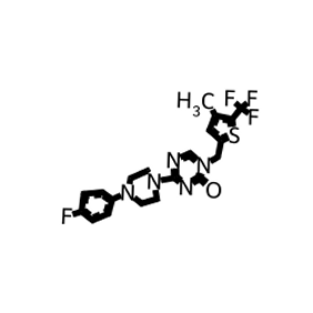 Cc1cc(Cn2cnc(N3CCN(c4ccc(F)cc4)CC3)nc2=O)sc1C(F)(F)F